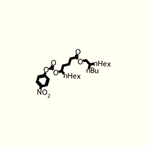 CCCCCCC(CCCC)COC(=O)CCCC(CCCCCC)OC(=O)Oc1ccc([N+](=O)[O-])cc1